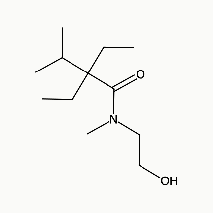 CCC(CC)(C(=O)N(C)CCO)C(C)C